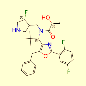 C[C@H](O)C(=O)N(CC1CNC[C@@H]1F)[C@H](c1nc(-c2cc(F)ccc2F)oc1Cc1ccccc1)C(C)(C)C